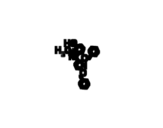 Cn1nc(-c2ccc(OCc3ccccc3)nc2OCc2ccccc2)c2cccc(O)c21